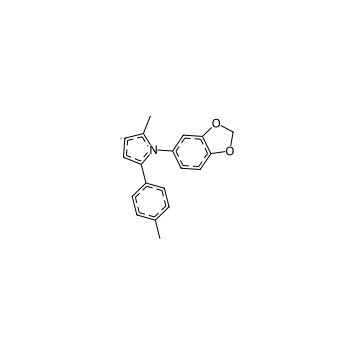 Cc1ccc(-c2c[c]c(C)n2-c2ccc3c(c2)OCO3)cc1